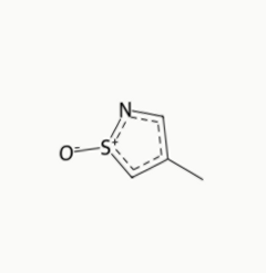 Cc1cn[s+]([O-])c1